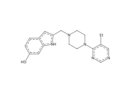 CCc1cncnc1N1CCN(Cc2cc3ccc(O)cc3[nH]2)CC1